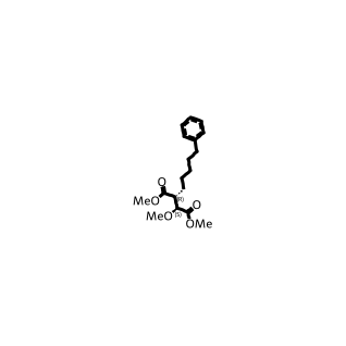 COC(=O)[C@@H](OC)[C@@H](CCCCCc1ccccc1)C(=O)OC